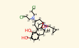 Oc1ccc2c(c1O)[C@@]13CCN(CC4CC4)[C@@H](C2)[C@@]1(O)CC[C@@H](N(CCCl)CCCl)C3